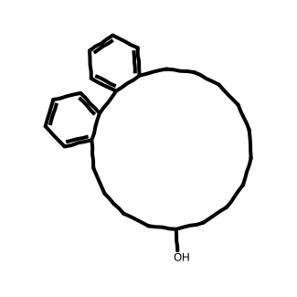 OC1CCCCCCCCCc2ccccc2-c2ccccc2CCCC1